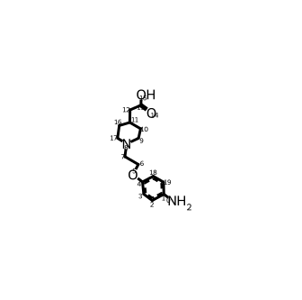 Nc1ccc(OCCN2CCC(CC(=O)O)CC2)cc1